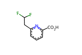 O=C(O)c1cccc(CC(F)F)n1